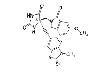 COc1ccc2c(c1)C(=O)N(C[C@@]1(C#Cc3ccc4c(c3)sc(=N)n4C)NC(=O)NC1=O)C2